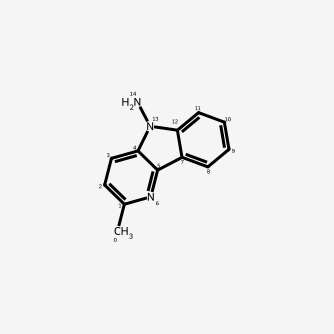 Cc1ccc2c(n1)c1ccccc1n2N